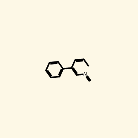 C=N/C=C(\C=C/C)c1ccccc1